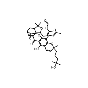 CC(C)=CCc1c2c(c(O)c3c1O[C@]14C(=CC5CC1C(C)(C)OC4(C/C=C(/C)OC=O)C5=O)C3=O)C=C[C@@](C)(CCCC(C)(C)O)O2